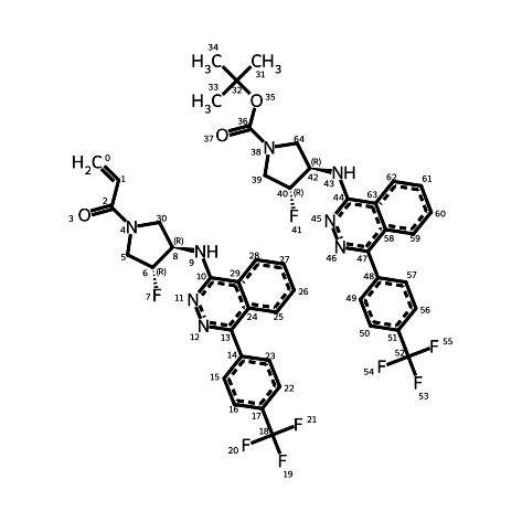 C=CC(=O)N1C[C@@H](F)[C@H](Nc2nnc(-c3ccc(C(F)(F)F)cc3)c3ccccc23)C1.CC(C)(C)OC(=O)N1C[C@@H](F)[C@H](Nc2nnc(-c3ccc(C(F)(F)F)cc3)c3ccccc23)C1